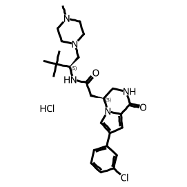 CN1CCN(C[C@@H](NC(=O)C[C@H]2CNC(=O)c3cc(-c4cccc(Cl)c4)cn32)C(C)(C)C)CC1.Cl